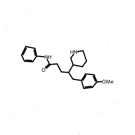 COc1ccc(CC(CCC(=O)Nc2ccccc2)C2CCCNC2)cc1